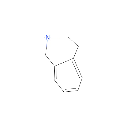 c1ccc2c(c1)CC[N]C2